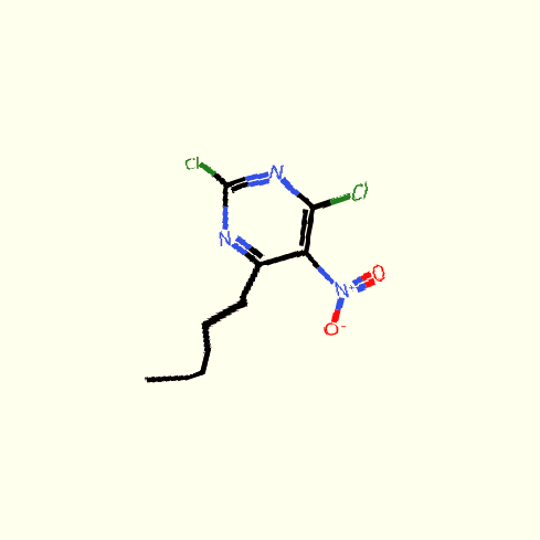 CCCCc1nc(Cl)nc(Cl)c1[N+](=O)[O-]